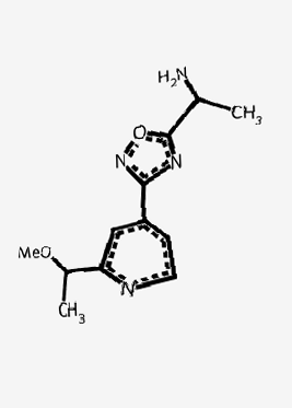 COC(C)c1cc(-c2noc(C(C)N)n2)ccn1